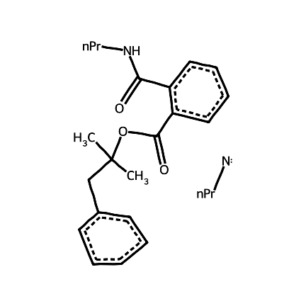 CCCNC(=O)c1ccccc1C(=O)OC(C)(C)Cc1ccccc1.CCC[N]